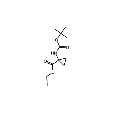 CC(C)(C)OC(=O)NC1(C(=O)OCI)CC1